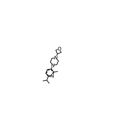 Cc1nc(C(C)C)ccc1N1CCN(C2COC2)CC1